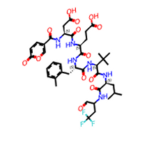 Cc1ccccc1C[C@H](NC(=O)[C@H](CCC(=O)O)NC(=O)[C@H](CC(=O)O)NC(=O)c1ccc(=O)oc1)C(=O)N[C@H](C(=O)N[C@@H](CC(C)C)C(=O)NC(C=O)CC(F)(F)F)C(C)(C)C